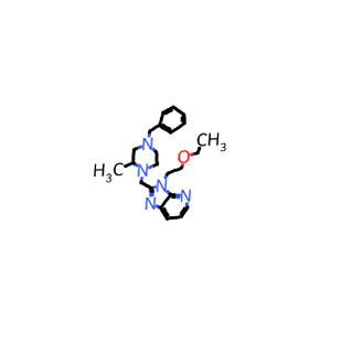 CCOCCn1c(CN2CCN(Cc3ccccc3)CC2C)nc2cccnc21